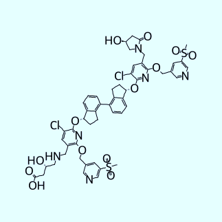 CS(=O)(=O)c1cncc(COc2nc(O[C@H]3CCc4c(-c5cccc6c5CC[C@@H]6Oc5nc(OCc6cncc(S(C)(=O)=O)c6)c(CN6C[C@@H](O)CC6=O)cc5Cl)cccc43)c(Cl)cc2CNC[C@@H](O)CC(=O)O)c1